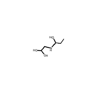 CCC(O)NCC(O)O